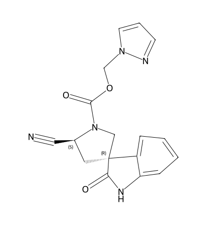 N#C[C@@H]1C[C@@]2(CN1C(=O)OCn1cccn1)C(=O)Nc1ccccc12